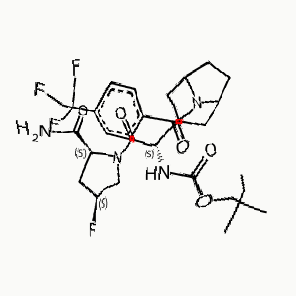 CC(C)(C)OC(=O)N[C@H](C(=O)N1C[C@@H](F)C[C@H]1C(N)=O)C1CC2CCC(C1)N2C(=O)c1ccc(C(F)(F)F)cc1